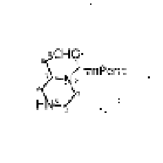 CCCCCCN1CCNCC1C[C]=O